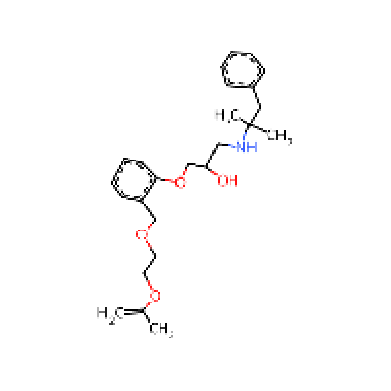 C=C(C)OCCOCc1ccccc1OCC(O)CNC(C)(C)Cc1ccccc1